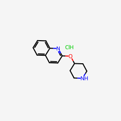 Cl.c1ccc2nc(OC3CCNCC3)ccc2c1